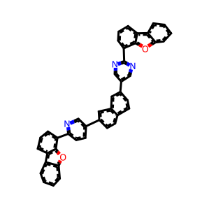 c1ccc2c(c1)oc1c(-c3ccc(-c4ccc5ccc(-c6cnc(-c7cccc8c7oc7ccccc78)nc6)cc5c4)cn3)cccc12